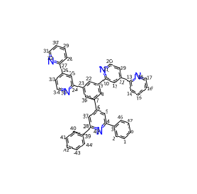 c1ccc(-c2cc(-c3cc(-c4cc(-c5ccccn5)ccn4)cc(-c4cc(-c5ccccn5)ccn4)c3)cc(-c3ccccc3)n2)cc1